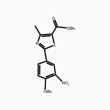 Cc1nc(-c2ccc(OCC(C)C)c([N+](=O)[O-])c2)sc1C(=O)OCC(C)C